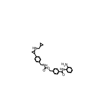 Nc1ccccc1NC(=O)c1ccc(COC(=O)NCc2ccc(C3CC3NCC3CC3)cc2)cc1